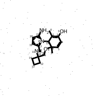 CC1=C(O)C=CC(C)(OCC2(N)CCC2)C1n1c(C)ccc1N